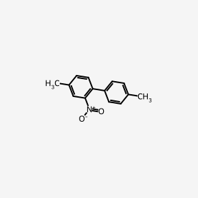 Cc1ccc(-c2ccc(C)cc2[N+](=O)[O-])cc1